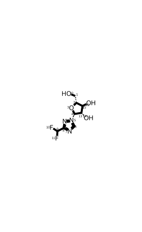 OC[C@H]1O[C@@H](n2cnc(C(F)F)n2)[C@@H](O)C1O